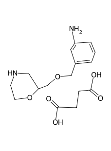 Nc1cccc(COCC2CNCCO2)c1.O=C(O)CCC(=O)O